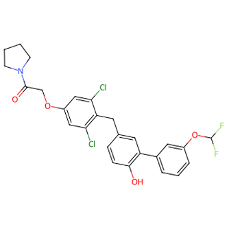 O=C(COc1cc(Cl)c(Cc2ccc(O)c(-c3cccc(OC(F)F)c3)c2)c(Cl)c1)N1CCCC1